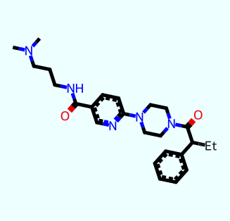 CCC(C(=O)N1CCN(c2ccc(C(=O)NCCCN(C)C)cn2)CC1)c1ccccc1